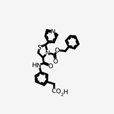 O=C(O)Cc1cccc(NC(=O)C2CSC(c3ccncc3)N2C(=O)OCc2ccccc2)c1